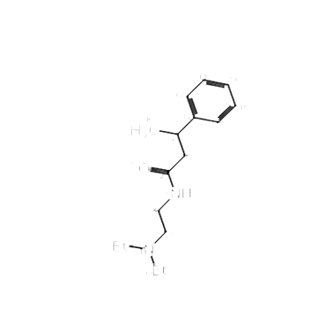 CCN(CC)CCNC(=O)CC(C)c1ccccc1